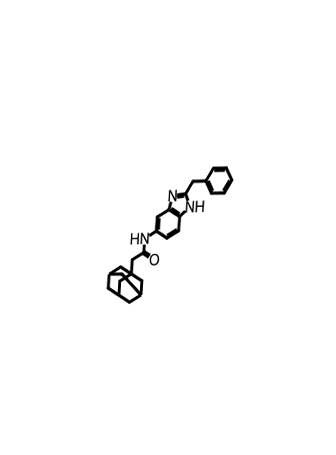 O=C(CC12CC3CC(CC(C3)C1)C2)Nc1ccc2[nH]c(Cc3ccccc3)nc2c1